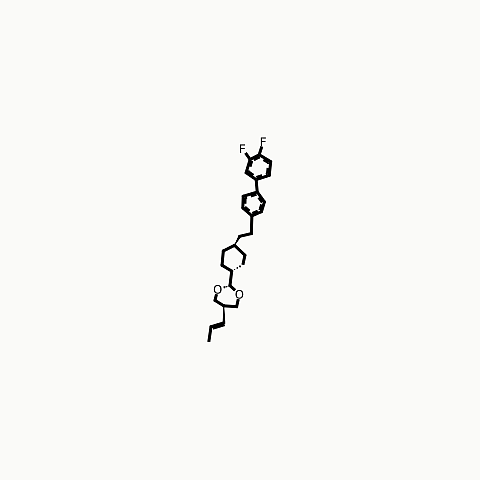 CC=C[C@H]1CO[C@H]([C@H]2CC[C@H](CCc3ccc(-c4ccc(F)c(F)c4)cc3)CC2)OC1